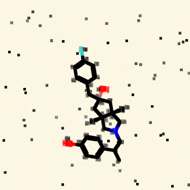 CC(CN1C[C@@H]2C[C@@](O)(Cc3ccc(F)cc3)C[C@@H]2C1)c1ccc(O)cc1